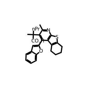 CCCC(C)(C(=O)O)c1c(C)nc2sc3c(c2c1-c1cc2ccccc2o1)CCCC3